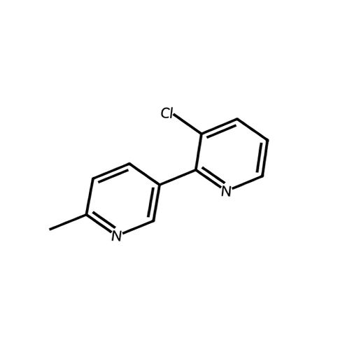 Cc1ccc(-c2ncccc2Cl)cn1